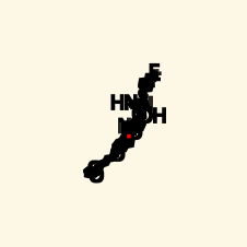 C=C(C)C(=O)OCCCCCCOc1ccc2cc(C(=O)Oc3ccc(C(O)Oc4cnc(/C=C/C5CCC(C=C(F)F)CC5)cc4C=N)cc3C#N)ccc2c1